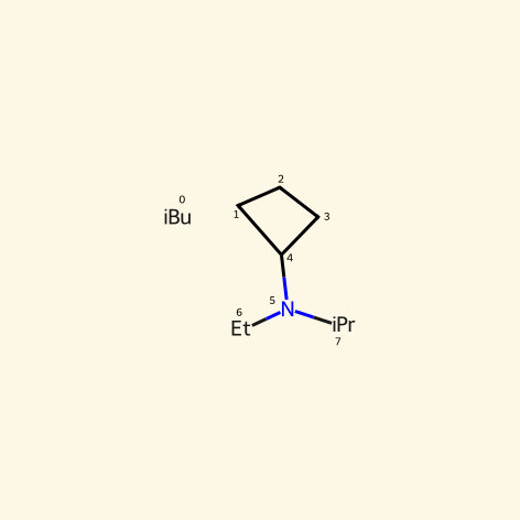 CC[C@H](C)C1CCC1N(CC)C(C)C